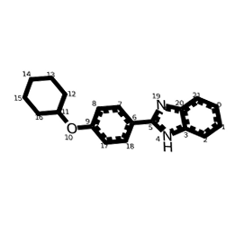 c1ccc2[nH]c(-c3ccc(OC4CCCCC4)cc3)nc2c1